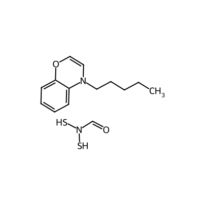 CCCCCN1C=COc2ccccc21.O=CN(S)S